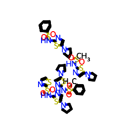 CS(=O)(=O)Nc1ncc(N2CCCC2)s1.Cc1ccccc1S(=O)(=O)Nc1ncc(N2CCCC2)s1.O=S(=O)(Nc1ncc(N2CCCC2)s1)c1ccccc1.O=S(=O)(Nc1ncc(N2CCCC2)s1)c1nccs1